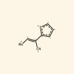 CCC(C)/C=C(\C#N)c1cccs1